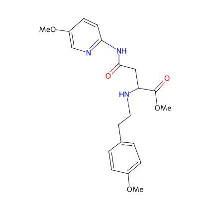 COC(=O)C(CC(=O)Nc1ccc(OC)cn1)NCCc1ccc(OC)cc1